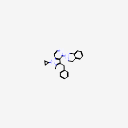 Cc1c(Cc2ccccc2)c2c(N3CCc4ccccc4C3)nccc2n1C1CC1